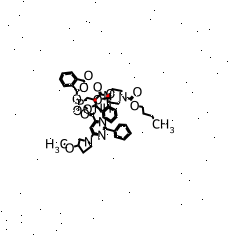 CCCCOC(=O)N1CCN(C(=O)C(CP(=O)(OC2OC(=O)c3ccccc32)OC2OC(=O)c3ccccc32)NC(=O)c2cc(N3CCC(OC)C3)nc(-c3ccccc3)n2)CC1